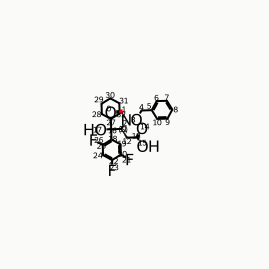 O=CN(OCc1ccccc1)[C@@H](CC(=O)O)C(O)(c1cc(F)c(F)cc1F)C1CCCCC1